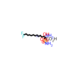 NC(CS(N)(=O)=O)(C(=O)O)C(O)C(O)C/C=C/CCCCCCC(F)F